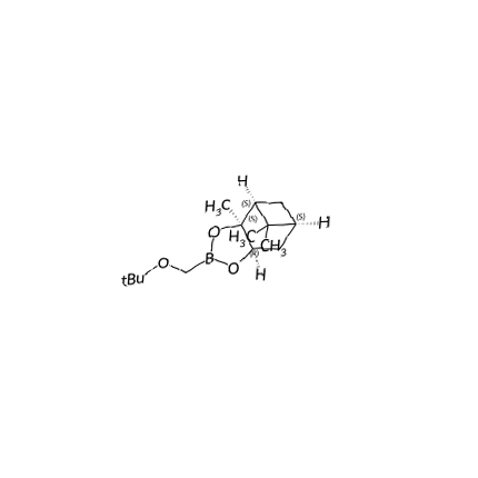 CC(C)(C)OCB1O[C@@H]2C[C@@H]3C[C@@H](C3(C)C)[C@]2(C)O1